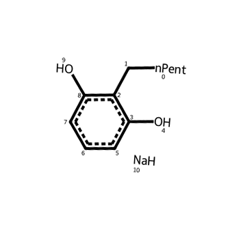 CCCCCCc1c(O)cccc1O.[NaH]